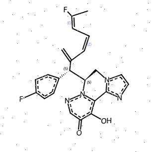 C=C(/C=C\C=C(/C)F)[C@@H](c1ccc(F)cc1)[C@H]1Cn2ccnc2-c2c(O)c(=O)cnn21